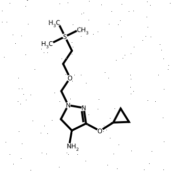 CS(C)(C)CCOCN1CC(N)C(OC2CC2)=N1